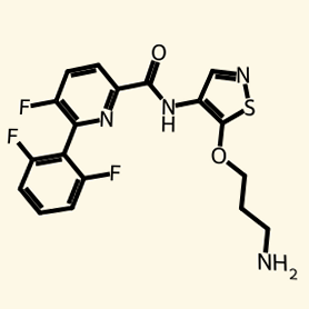 NCCCOc1sncc1NC(=O)c1ccc(F)c(-c2c(F)cccc2F)n1